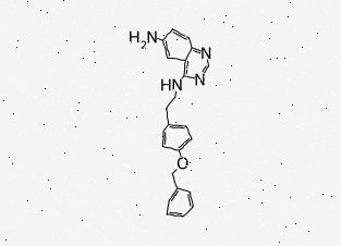 Nc1ccc2ncnc(NCCc3ccc(OCc4ccccc4)cc3)c2c1